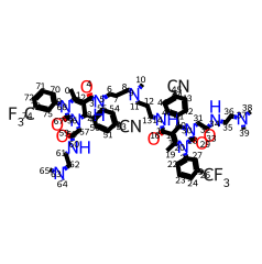 CC1=C(C(=O)NCCCN(C)CCCNC(=O)C2=C(C)N(c3cccc(C(F)(F)F)c3)C(=O)N(CC(=O)NCCN(C)C)[C@@H]2c2ccc(C#N)cc2)[C@@H](c2ccc(C#N)cc2)N(CC(=O)NCCN(C)C)C(=O)N1c1cccc(C(F)(F)F)c1